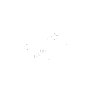 CN(C)CCc1c[nH]c2ccc(CCC3NC(=O)N(Cc4ccccc4)C3=O)cc12.O=C(O)/C=C\C(=O)O